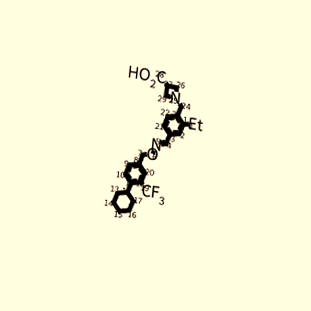 CCc1cc(C=NOCc2ccc(C3CCCCC3)c(C(F)(F)F)c2)ccc1CN1CC(C(=O)O)C1